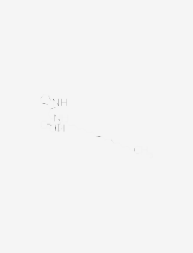 CCCCCC=CCC=CCCCCCCCC(=O)NC(Cc1c[nH]c2ccccc12)C(=O)O